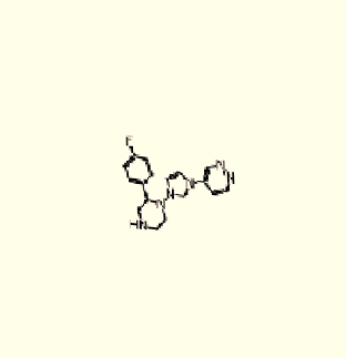 Fc1ccc(C2CNCCN2N2C=CN(c3ccnnc3)C2)cc1